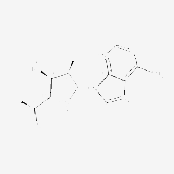 C[C@H](O)[C@H]1O[C@@H](n2cnc3c(N)ncnc32)[C@H](O)[C@@H]1O